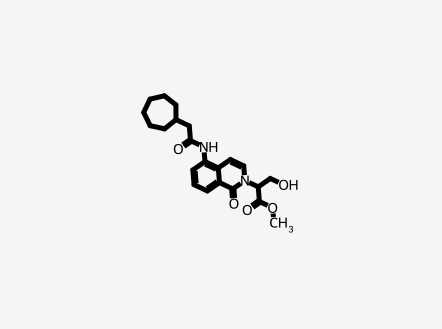 COC(=O)C(CO)n1ccc2c(NC(=O)CC3CCCCCC3)cccc2c1=O